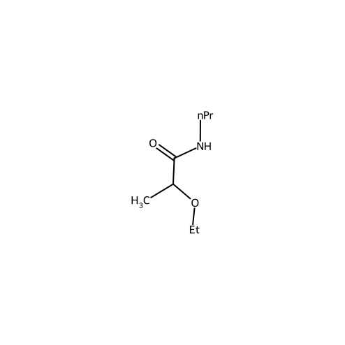 CCCNC(=O)C(C)OCC